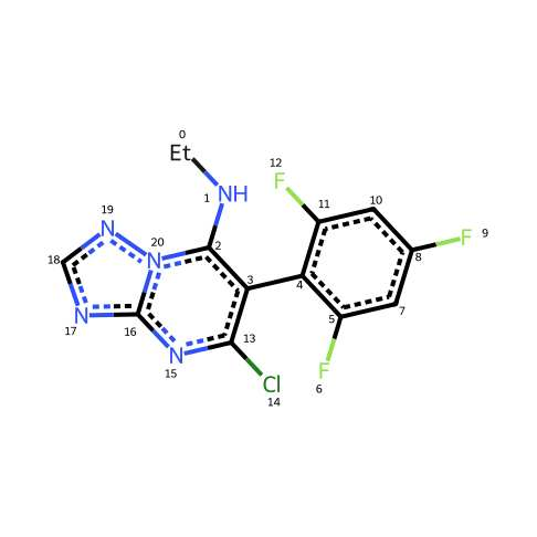 CCNc1c(-c2c(F)cc(F)cc2F)c(Cl)nc2ncnn12